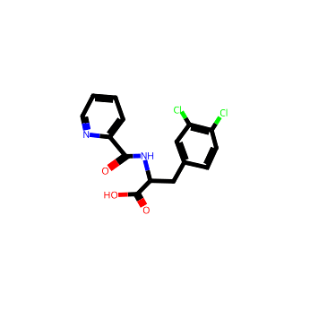 O=C(NC(Cc1ccc(Cl)c(Cl)c1)C(=O)O)c1ccccn1